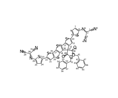 N#CC(C#N)=Nc1ccc(-c2cc3c(s2)-c2sc4c(sc5cc(-c6ccc(N=C(C#N)C#N)s6)sc54)c2C3(C(=O)OCc2ccccc2)C(=O)OCc2ccccc2)s1